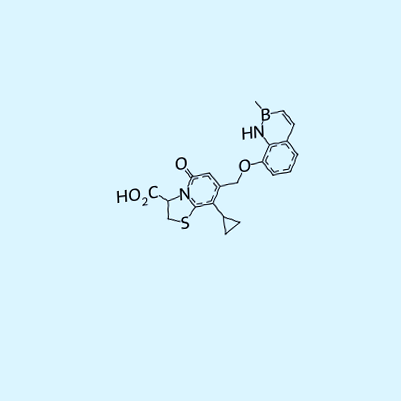 CB1C=Cc2cccc(OCc3cc(=O)n4c(c3C3CC3)SCC4C(=O)O)c2N1